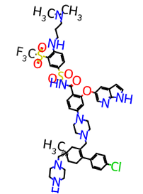 CN(C)CCCNc1ccc(S(=O)(=O)NC(=O)c2ccc(N3CCN(CC4=C(c5ccc(Cl)cc5)CC[C@@](C)(CN5CCNCC5)C4)CC3)cc2Oc2cnc3[nH]ccc3c2)cc1S(=O)(=O)C(F)(F)F